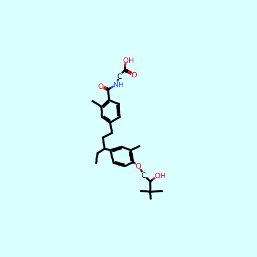 CCC(CCc1ccc(C(=O)NCC(=O)O)c(C)c1)c1ccc(OCC(O)C(C)(C)C)c(C)c1